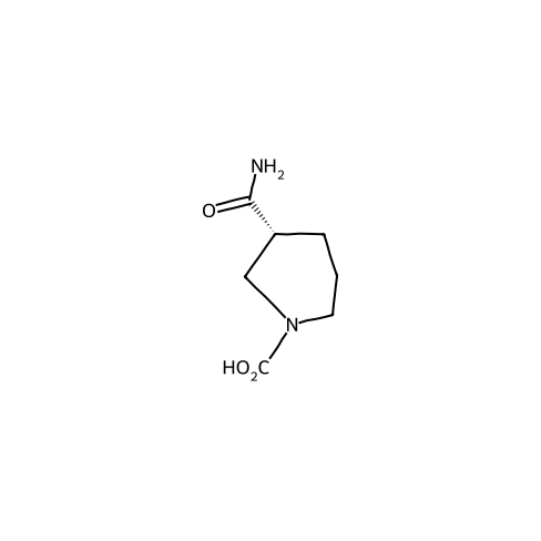 NC(=O)[C@@H]1CCCN(C(=O)O)C1